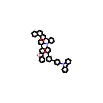 c1cc(-c2ccc(N(c3ccccc3-c3ccc4c(ccc5ccccc54)c3)c3ccccc3-c3ccc4c(c3)oc3ccccc34)cc2)cc(-c2ccc(-n3c4ccccc4c4ccccc43)cc2)c1